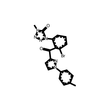 Cc1ccc(-n2ccc(C(=O)c3c(Br)cccc3-n3nnn(C)c3=O)n2)cc1